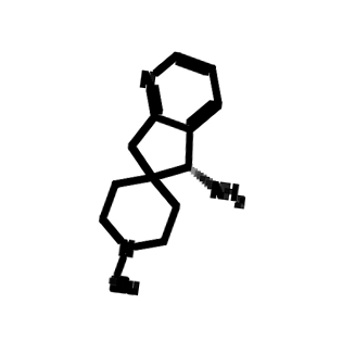 CC(C)(C)N1CCC2(CC1)Cc1ncccc1[C@@H]2N